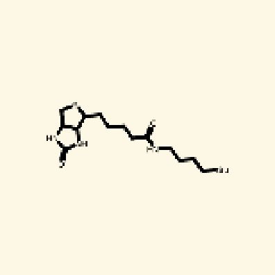 CC(C)(C)CCCCNC(=O)CCCCC1SCC2NC(=O)NC21